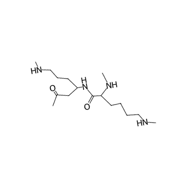 CNCCCCC(NC)C(=O)NC(CCCNC)CC(C)=O